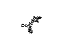 c1ccc(-c2ccc(N(c3ccc(-c4ccc(-c5cccc6c5-c5ccccc5C65C6CCC7CC8CC5C7C8C6)cc4)cc3)c3ccc4c(c3)oc3ccccc34)cc2)cc1